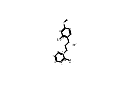 CSc1ccc(CCC[n+]2cccnc2N)c(Br)c1.[Br-]